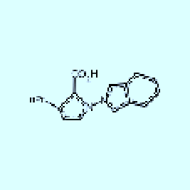 CCCc1ccn(-n2cc3ccccc3c2)c1C(=O)O